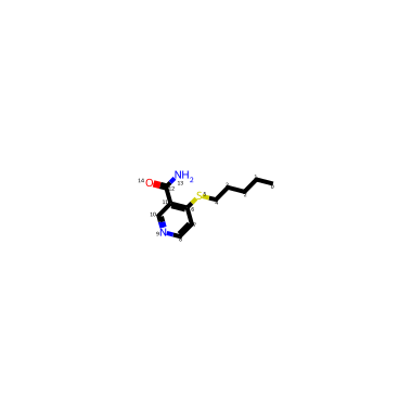 CCCCCSc1ccncc1C(N)=O